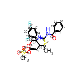 CC1SC(NC(=O)c2ccccc2)=NC2(c3ccc(F)cc3F)COC(OS(=O)(=O)C(F)(F)F)=CC12